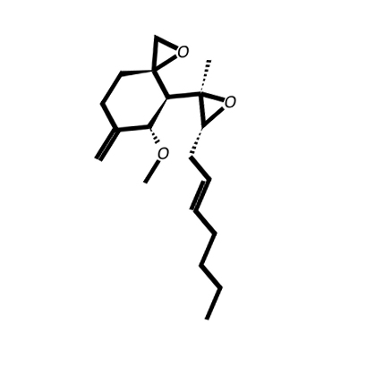 C=C1CC[C@]2(CO2)[C@@H]([C@@]2(C)O[C@@H]2C/C=C/CCCC)[C@@H]1OC